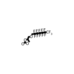 O=C1OCC(COCC(F)(F)C(F)(F)C(F)(F)C(F)(F)C(F)(F)C(F)(F)F)O1